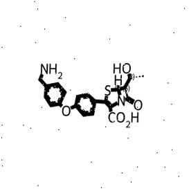 C[C@@H](O)[C@H]1C(=O)N2C(C(=O)O)=C(c3ccc(Oc4ccc(CN)cc4)cc3)S[C@H]12